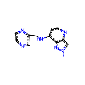 c1cnc(CNc2ccnc3c[nH]nc23)cn1